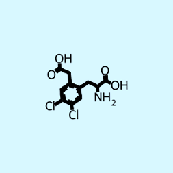 NC(Cc1cc(Cl)c(Cl)cc1CC(=O)O)C(=O)O